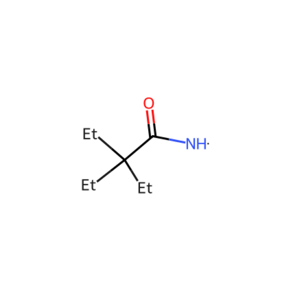 CCC(CC)(CC)C([NH])=O